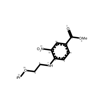 COC(=O)c1ccc(NCCOC(C)C)c([N+](=O)[O-])c1